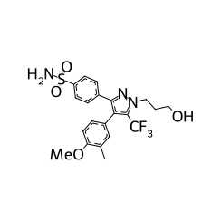 COc1ccc(-c2c(-c3ccc(S(N)(=O)=O)cc3)nn(CCCO)c2C(F)(F)F)cc1C